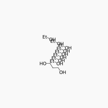 CCO.CCO.CCO.CCO.CCO.CCO.CCO.CCO.OCCCO